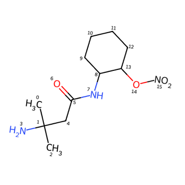 CC(C)(N)CC(=O)NC1CCCCC1O[N+](=O)[O-]